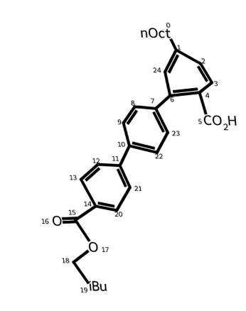 CCCCCCCCc1ccc(C(=O)O)c(-c2ccc(-c3ccc(C(=O)OCC(C)CC)cc3)cc2)c1